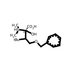 C[SiH](C)[C@](O)(C(=O)O)C(COCc1ccccc1)C(C)(C)C